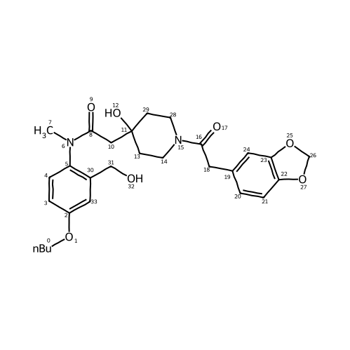 CCCCOc1ccc(N(C)C(=O)CC2(O)CCN(C(=O)Cc3ccc4c(c3)OCO4)CC2)c(CO)c1